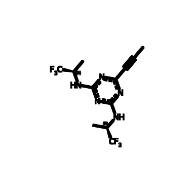 CC#Cc1nc(N[C@H](C)C(F)(F)F)nc(N[C@H](C)C(F)(F)F)n1